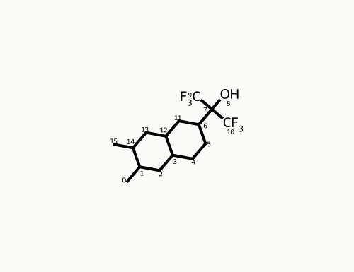 CC1CC2CCC(C(O)(C(F)(F)F)C(F)(F)F)CC2CC1C